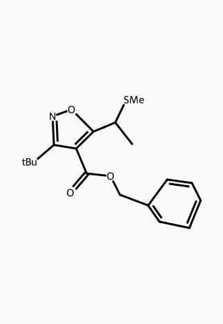 CSC(C)c1onc(C(C)(C)C)c1C(=O)OCc1ccccc1